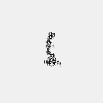 CC(C)(C)OC(=O)N(C(=O)C1CCCN1)c1cccc(-c2csc(SCC(=O)NC3CCN(Cc4ccc(Cl)c(Cl)c4)CC3)n2)c1